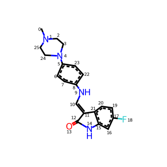 CN1CCN(c2ccc(N/C=C3/C(=O)Nc4cc(F)ccc43)cc2)CC1